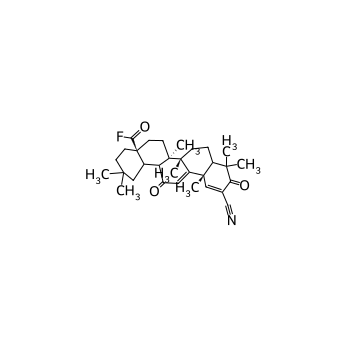 CC1(C)CC[C@]2(C(=O)F)CC[C@]3(C)C(C(=O)C=C4[C@@]5(C)C=C(C#N)C(=O)C(C)(C)C5CC[C@]43C)C2C1